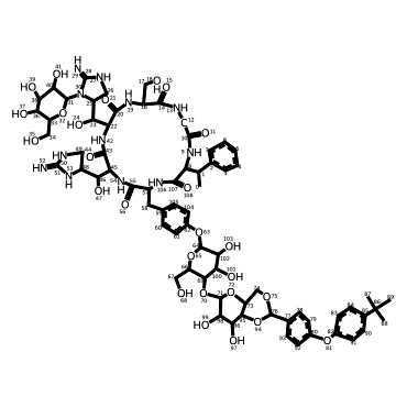 CC(c1ccccc1)C1NC(=O)CNC(=O)C(CO)NC(=O)C(C(O)C2CNC(=N)N2C2OC(CO)C(O)C(O)C2O)NC(=O)C(C(O)C2CNC(=N)N2)NC(=O)C(Cc2ccc(OC3OC(CO)C(OC4OC5COC(c6ccc(Oc7ccc(C(C)(C)C)cc7)cc6)OC5C(O)C4O)C(O)C3O)cc2)NC1=O